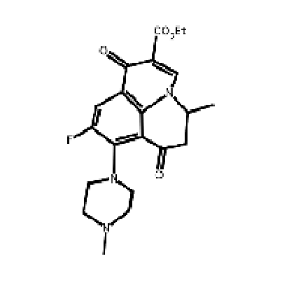 CCOC(=O)c1cn2c3c(c(N4CCN(C)CC4)c(F)cc3c1=O)C(=O)CC2C